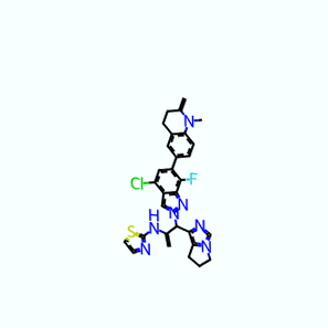 C=C(Nc1nccs1)C(c1ncn2c1CCC2)n1cc2c(Cl)cc(-c3ccc4c(c3)CCC(=C)N4C)c(F)c2n1